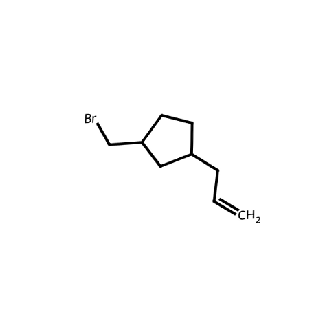 C=CCC1CCC(CBr)C1